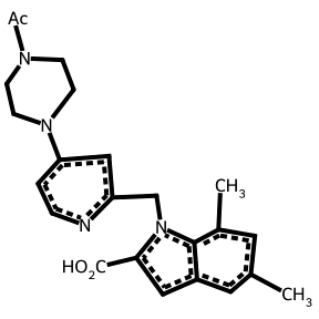 CC(=O)N1CCN(c2ccnc(Cn3c(C(=O)O)cc4cc(C)cc(C)c43)c2)CC1